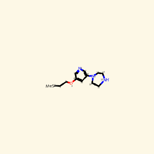 CSCCOc1cncc(N2CCNCC2)c1